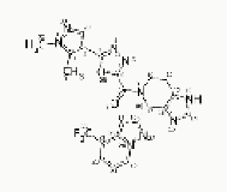 Cc1c(-c2nnc(C(=O)N3CCc4[nH]cnc4[C@@H]3c3cc4c(C(F)(F)F)cccn4n3)o2)cnn1C